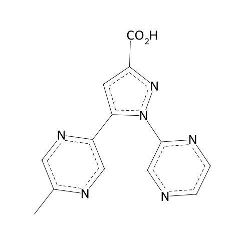 Cc1cnc(-c2cc(C(=O)O)nn2-c2cnccn2)cn1